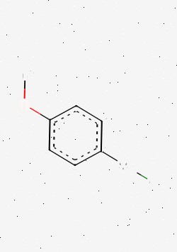 CCCOc1cc[c]([Mg][Cl])cc1